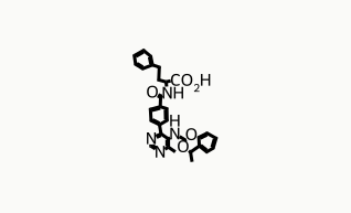 Cc1ncnc(-c2ccc(C(=O)NC(CCc3ccccc3)C(=O)O)cc2)c1NC(=O)OC(C)c1ccccc1